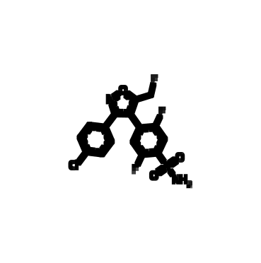 NS(=O)(=O)c1cc(F)c(-c2c(-c3ccc(Cl)cc3)noc2CF)cc1F